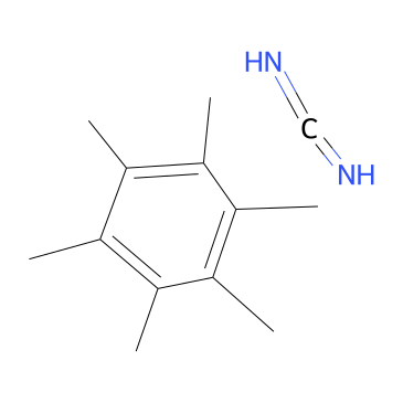 Cc1c(C)c(C)c(C)c(C)c1C.N=C=N